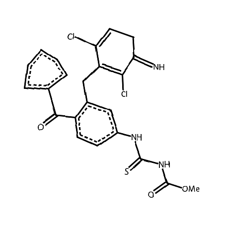 COC(=O)NC(=S)Nc1ccc(C(=O)c2ccccc2)c(CC2=C(Cl)C(=N)CC=C2Cl)c1